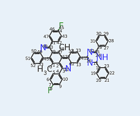 Cc1c2c(-c3ccc(F)cc3)nc3cc(C4=NC(c5ccccc5)NC(c5ccccc5)=N4)ccc3c2c(C)c2c(-c3ccc(F)cc3)nc3ccccc3c12